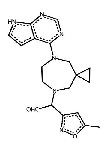 Cc1cc(C(C=O)N2CCN(c3ncnc4[nH]ccc34)CC3(CC3)C2)no1